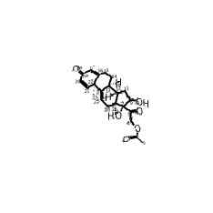 CC(=O)OCC(=O)[C@@]1(O)C(O)C[C@H]2[C@@H]3CCC4=CC(=O)C=C[C@]4(C)C3=CC[C@@]21C